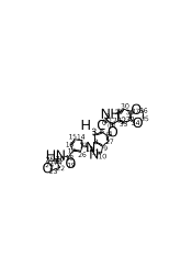 C[C@H](N)[C@H](Oc1ccc2c(cnn2-c2cccc(C(=O)N[C@@H]3CCOC3)c2)c1)c1ccc2c(c1)OCCO2